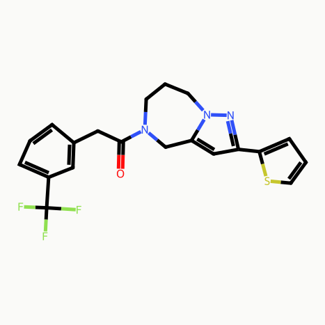 O=C(Cc1cccc(C(F)(F)F)c1)N1CCCn2nc(-c3cccs3)cc2C1